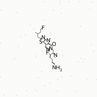 C/N=C(Cn1ncc2c3sc(CC(C)CCF)nc3n(C)c2c1=O)\C(F)=C/C/C=C/N